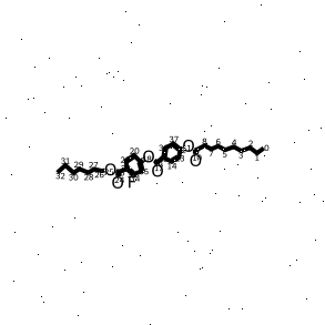 CCCCCCCCCC(=O)Oc1ccc(C(=O)Oc2ccc(C(=O)OCCCCCCC)c(F)c2)cc1